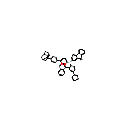 CC1(C)c2ccccc2-c2ccc(N(c3ccc(-c4ccc(C56CC7CC(CC(C7)C5)C6)cc4)cc3)c3ccc(-c4ccccc4)cc3-c3cccc4ccccc34)cc21